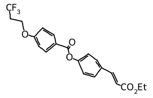 [CH2]COC(=O)/C=C/c1ccc(OC(=O)c2ccc(OCCC(F)(F)F)cc2)cc1